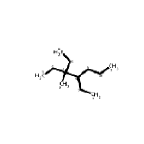 BCC(C)(CC)C(CC)CCC